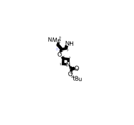 CN/C=C(\C=N)OC1CN(C(=O)OC(C)(C)C)C1